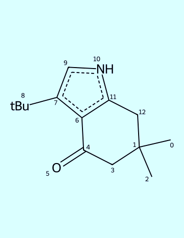 CC1(C)CC(=O)c2c(C(C)(C)C)c[nH]c2C1